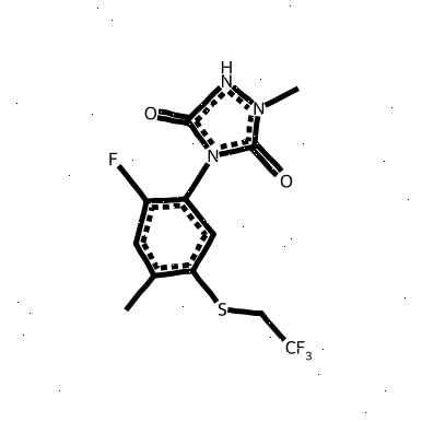 Cc1cc(F)c(-n2c(=O)[nH]n(C)c2=O)cc1SCC(F)(F)F